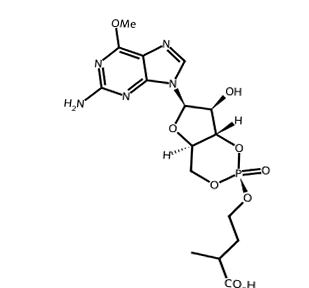 COc1nc(N)nc2c1ncn2[C@@H]1O[C@@H]2CO[P@](=O)(OCCC(C)C(=O)O)O[C@H]2[C@@H]1O